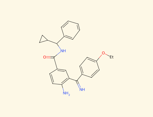 CCOc1ccc(C(=N)c2cc(C(=O)NC(c3ccccc3)C3CC3)ccc2N)cc1